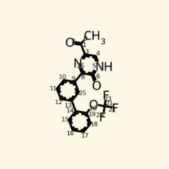 CC(=O)c1c[nH]c(=O)c(-c2cccc(-c3ccccc3OC(F)(F)F)c2)n1